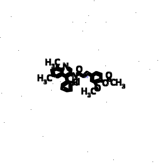 COc1cc(/C=C/C(=O)Nc2cnc3c(C)cc(C)cc3c2-c2ccccc2Cl)ccc1OC(C)=O